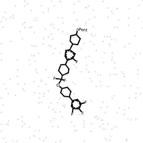 CCCCCC1CCC(c2ccc(C3CCC(C(F)(F)OC4CCC(c5cc(F)c(F)c(F)c5)CC4)CC3)c(F)c2)CC1